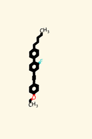 CCCCCc1ccc(-c2ccc(C#Cc3ccc(OCC)cc3)cc2F)cc1